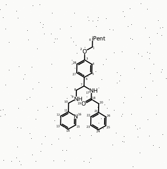 CCCC(C)COc1ccc(C(CNCc2ccccn2)NC(=O)Cc2ccccc2)cc1